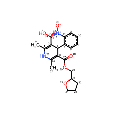 CC1=C(C(=O)O)C(c2ccccc2[N+](=O)[O-])C(C(=O)OCC2CCCO2)=C(C)N1